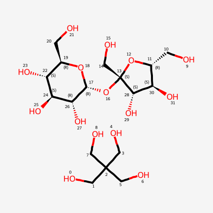 OCC(CO)(CO)CO.OC[C@H]1O[C@@](CO)(O[C@H]2O[C@H](CO)[C@@H](O)[C@H](O)[C@H]2O)[C@@H](O)[C@@H]1O